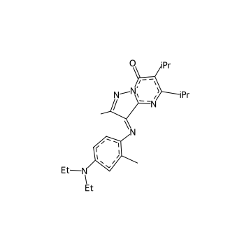 CCN(CC)c1ccc(N=C2C(C)=Nn3c2nc(C(C)C)c(C(C)C)c3=O)c(C)c1